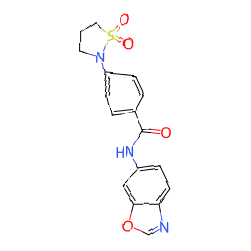 O=C(Nc1ccc2ncoc2c1)c1ccc(N2CCCS2(=O)=O)cc1